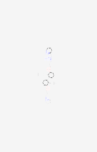 Cc1c(OCCCNCc2ccccn2)cccc1-c1cccc(OCCCN2CCCC2)c1C